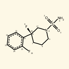 NS(=O)(=O)N1CCC[C@](F)(c2ccccc2F)C1